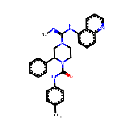 Cc1ccc(NC(=O)N2CCN(/C(=N\C#N)Nc3cccc4ncccc34)CC2c2ccccc2)cc1